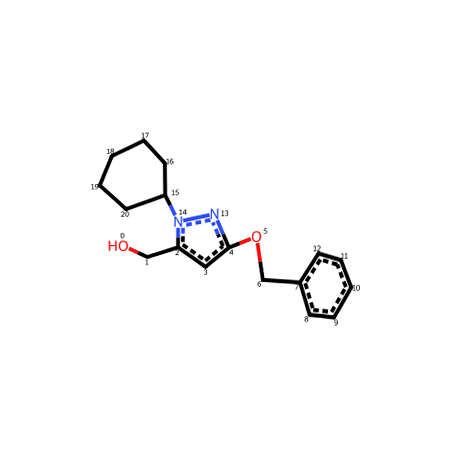 OCc1cc(OCc2ccccc2)nn1C1CCCCC1